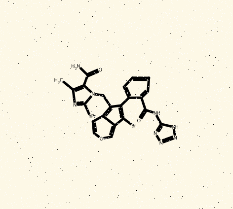 CCCc1nc(C)c(C(N)=O)n1Cc1c2ccocc-2c(Br)c1-c1ccccc1C(=O)Nc1nnn[nH]1